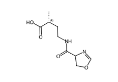 C[C@H](CCNC(=O)C1COC=N1)C(=O)O